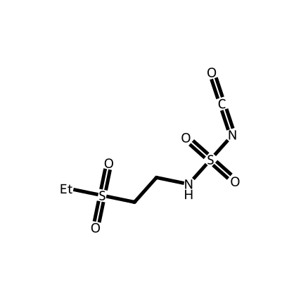 CCS(=O)(=O)CCNS(=O)(=O)N=C=O